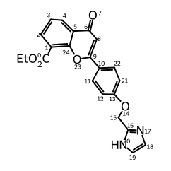 CCOC(=O)c1cccc2c(=O)cc(-c3ccc(OCc4ncc[nH]4)cc3)oc12